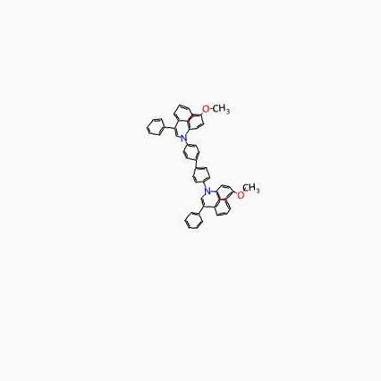 COc1ccc(N(C=C(c2ccccc2)c2ccccc2)c2ccc(-c3ccc(N(C=C(c4ccccc4)c4ccccc4)c4ccc(OC)cc4)cc3)cc2)cc1